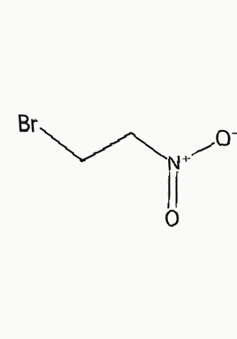 O=[N+]([O-])CCBr